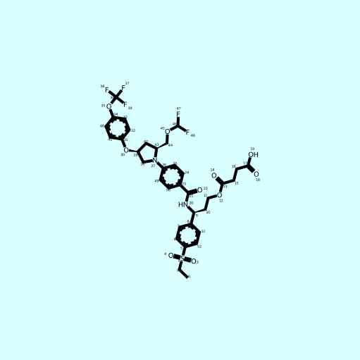 CCS(=O)(=O)c1ccc([C@H](CCOC(=O)CCC(=O)O)NC(=O)c2ccc(N3C[C@@H](Oc4ccc(OC(F)(F)F)cc4)C[C@H]3COC(F)F)cc2)cc1